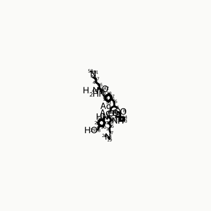 CC(=O)CC(C(C)=O)C(COC(=O)C1(C(=O)NC(CCCCN(C)C)C(=O)Nc2ccc(CO)cc2)CCC1)Cc1ccc(NC(=O)C(N)CCCCN(C)C)cc1